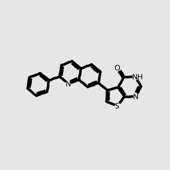 O=c1[nH]cnc2scc(-c3ccc4ccc(-c5ccccc5)nc4c3)c12